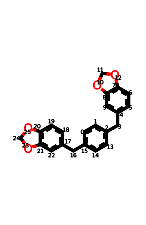 c1cc(Cc2ccc3c(c2)OCO3)ccc1Cc1ccc2c(c1)OCO2